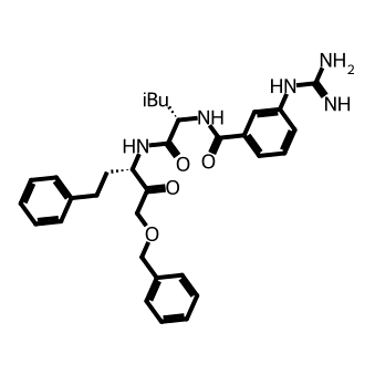 CCC(C)[C@H](NC(=O)c1cccc(NC(=N)N)c1)C(=O)N[C@@H](CCc1ccccc1)C(=O)COCc1ccccc1